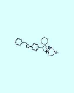 CN1CCN(CC(c2ccc(OCc3ccccc3)cc2)C2(O)CCCCC2)CC1